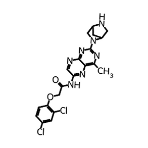 Cc1nc(N2CC3CC2CN3)nc2ncc(NC(=O)COc3ccc(Cl)cc3Cl)nc12